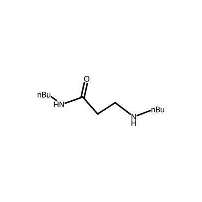 CCCCNCCC(=O)NCCCC